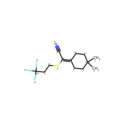 CC1(C)CCC(=C(C#N)SCCC(F)(F)F)CC1